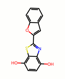 Oc1ccc(O)c2sc(-c3cc4ccccc4o3)nc12